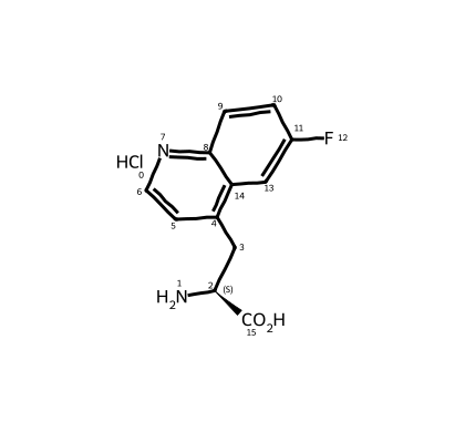 Cl.N[C@@H](Cc1ccnc2ccc(F)cc12)C(=O)O